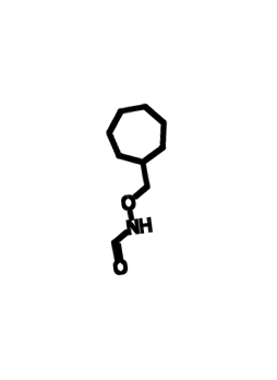 O=CNOCC1CCCCCC1